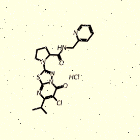 CC(C)c1nc2sc(N3CCCC3C(=O)NCc3ccccn3)nn2c(=O)c1Cl.Cl